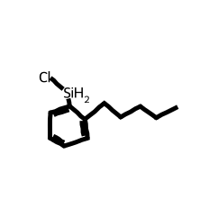 CCCCCc1ccccc1[SiH2]Cl